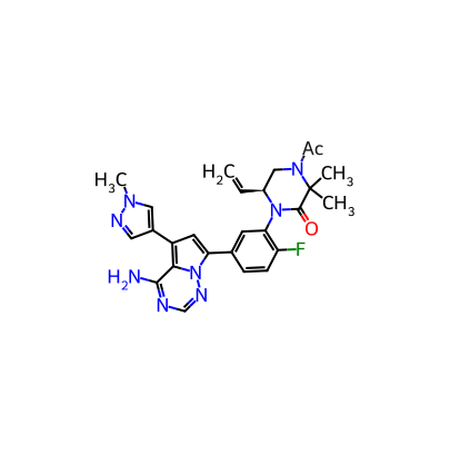 C=C[C@H]1CN(C(C)=O)C(C)(C)C(=O)N1c1cc(-c2cc(-c3cnn(C)c3)c3c(N)ncnn23)ccc1F